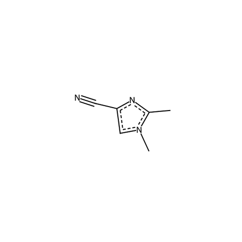 Cc1nc(C#N)cn1C